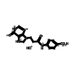 Cl.O=C(CCN1CNc2c1nc[nH]c2=O)Nc1ccc(C(=O)O)cc1